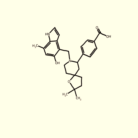 Cc1cc(O)c(CN2CCC3(CCC(C)(C)O3)CC2c2ccc(C(=O)O)cc2)c2cc[nH]c12